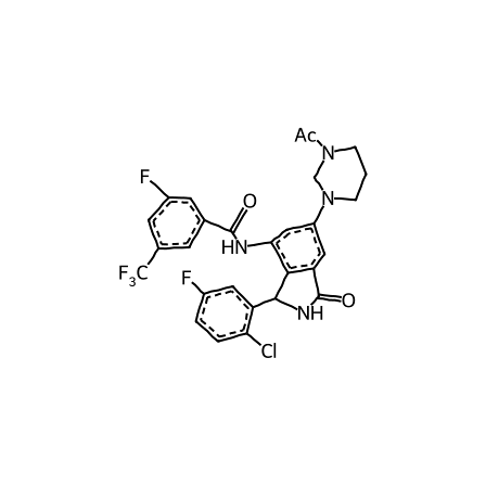 CC(=O)N1CCCN(c2cc(NC(=O)c3cc(F)cc(C(F)(F)F)c3)c3c(c2)C(=O)NC3c2cc(F)ccc2Cl)C1